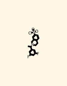 CC(c1cc(F)cc(F)c1)N1CCc2ccc(S(=O)(=O)Cl)cc2C1